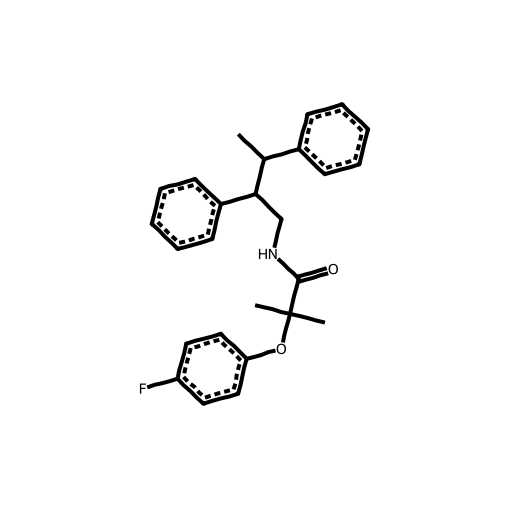 CC(c1ccccc1)C(CNC(=O)C(C)(C)Oc1ccc(F)cc1)c1ccccc1